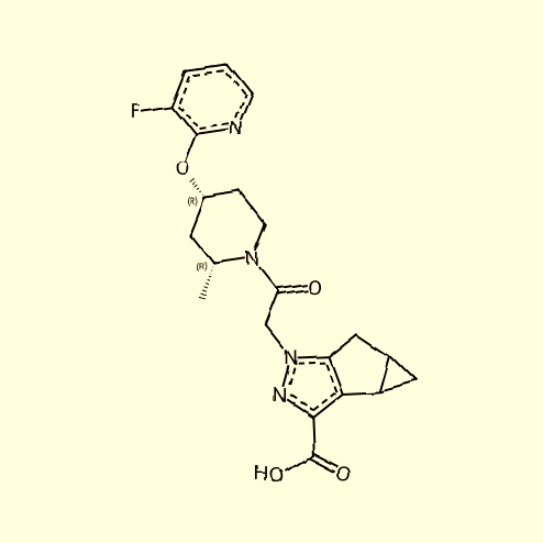 C[C@@H]1C[C@H](Oc2ncccc2F)CCN1C(=O)Cn1nc(C(=O)O)c2c1CC1CC21